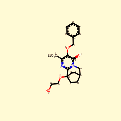 CCOC(=O)c1nc2n(c(=O)c1OCc1ccccc1)CC1CCC2(OCCO)CC1